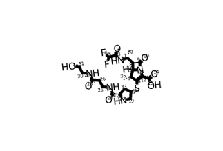 C[C@@H](NC(=O)C(F)F)[C@H]1C(=O)N2C(C(=O)O)=C(S[C@@H]3CN[C@H](C(=O)NCCC(=O)NCCO)C3)[C@H](C)[C@H]12